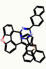 C1=C(c2nc(-c3ccc4ccccc4c3)nc(-c3cccc4oc5cccc(-c6cccc7sc8ccccc8c67)c5c34)n2)CCc2ccccc21